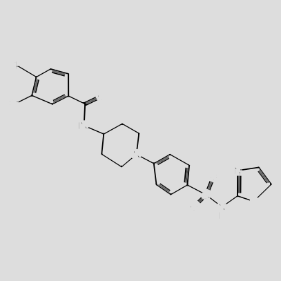 O=C(NC1CCN(c2ccc(S(=O)(=O)Nc3nccs3)cc2)CC1)c1ccc(Cl)c(Cl)c1